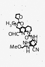 COC[C@H](N)Nc1cc(NC(=O)N2CCCc3cc(CN(C)C(=O)[C@H]4CCCO4)c(C=O)nc32)ncc1C#N